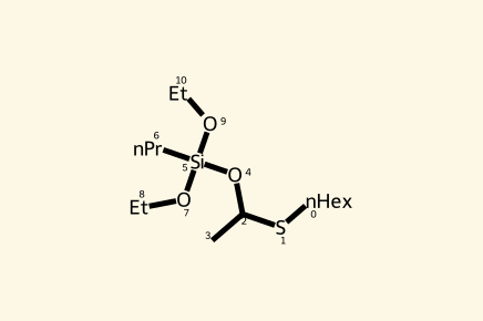 CCCCCCSC(C)O[Si](CCC)(OCC)OCC